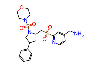 NCc1ccnc(S(=O)(=O)CC2CC(c3ccccc3)CN2S(=O)(=O)N2CCOCC2)c1